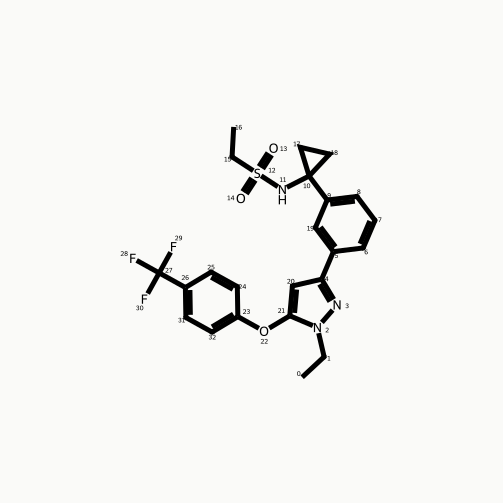 CCn1nc(-c2cccc(C3(NS(=O)(=O)CC)CC3)c2)cc1Oc1ccc(C(F)(F)F)cc1